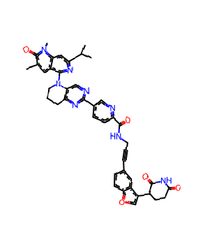 Cc1cc2c(N3CCCc4nc(-c5ccc(C(=O)NCC#Cc6ccc7occ(C8CCC(=O)NC8=O)c7c6)nc5)ncc43)nc(C(C)C)cc2n(C)c1=O